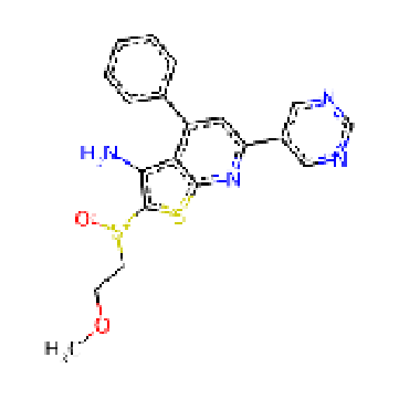 COCC[S+]([O-])c1sc2nc(-c3cncnc3)cc(-c3ccccc3)c2c1N